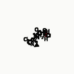 COc1cc(C(=O)N2C[C@H]3CC[C@@H]2[C@@H]3N)cc2nc(-c3cc4c(Cl)ccnc4n3CC3CC3)n(C)c12